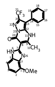 COc1cccc2[nH]c(-c3c(C)[nH]c4c(-c5ccccc5)c(C(F)(F)F)nn4c3=O)nc12